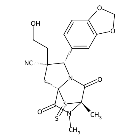 CN1C(=O)[C@@]23C[C@@](C#N)(CCO)[C@H](c4ccc5c(c4)OCO5)N2C(=O)[C@@]1(C)S3=S